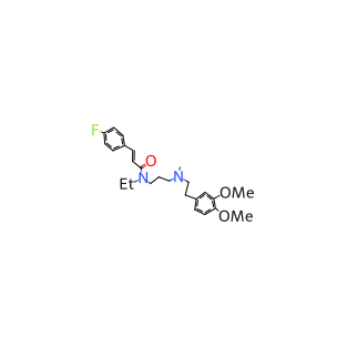 CCN(CCCN(C)CCc1ccc(OC)c(OC)c1)C(=O)/C=C/c1ccc(F)cc1